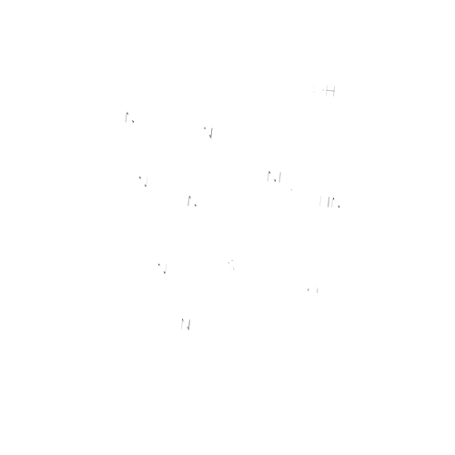 CC(COc1ccccc1-c1nnc(-n2nc(N3CCCCC3)nc2N)s1)NCCO